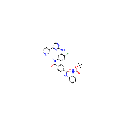 CN(C(=O)c1ccc(C(=O)Nc2ccccc2NC(=O)OC(C)(C)C)cc1)c1ccc(Cl)c(Nc2nccc(-c3cccnc3)n2)c1